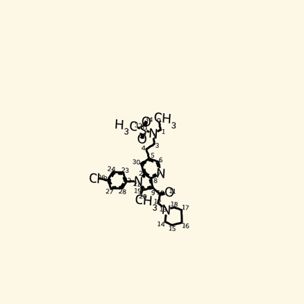 CCN(CCc1cnc2c(C(=O)CN3CCCCC3)c(C)n(-c3ccc(Cl)cc3)c2c1)S(C)(=O)=O